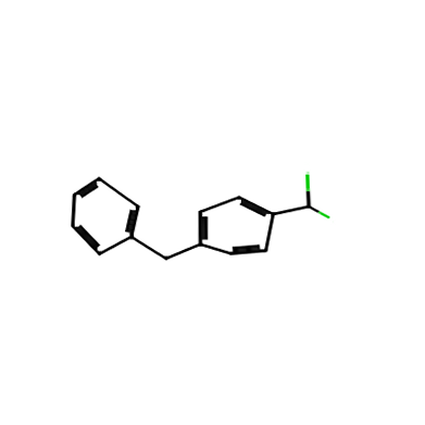 ClC(Cl)c1ccc(Cc2ccccc2)cc1